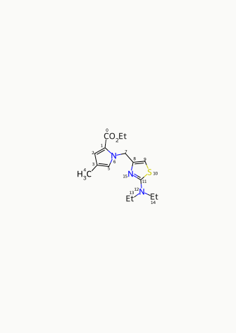 CCOC(=O)c1cc(C)cn1Cc1csc(N(CC)CC)n1